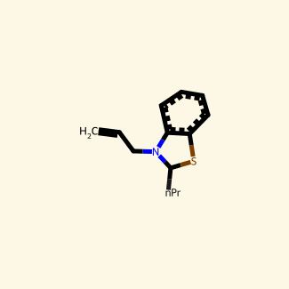 [CH2]CCC1Sc2ccccc2N1CC=C